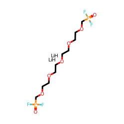 O=P(F)(F)COCCOCCOCCOCCOCP(=O)(F)F.[LiH].[LiH]